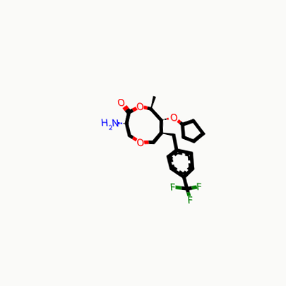 C[C@@H]1OC(=O)[C@@H](N)COC[C@H](Cc2ccc(C(F)(F)F)cc2)[C@H]1OC1CCCC1